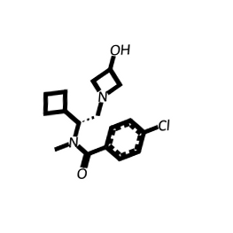 CN(C(=O)c1ccc(Cl)cc1)[C@@H](CN1CC(O)C1)C1CCC1